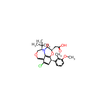 COc1cccc([C@H]2C=C(Cl)C3=COC[C@@H](C(C)(C)C)N4C(=O)[C@@H](CC(=O)O)OC2=C34)c1C